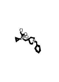 O=C(CCl)N(CC1(O)CCN(Cc2ccccc2)CC1)C1CC1